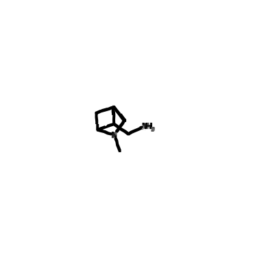 CN1CC2CC1C2CN